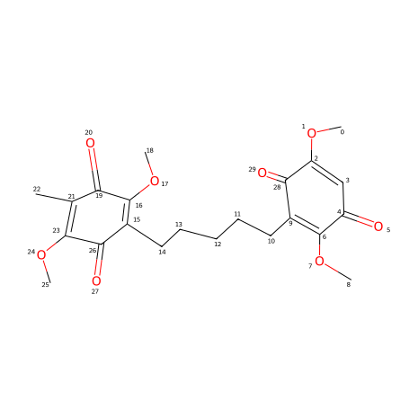 COC1=CC(=O)C(OC)=C(CCCCCC2=C(OC)C(=O)C(C)=C(OC)C2=O)C1=O